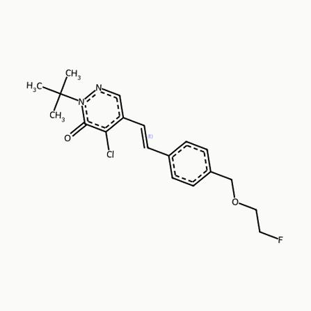 CC(C)(C)n1ncc(/C=C/c2ccc(COCCF)cc2)c(Cl)c1=O